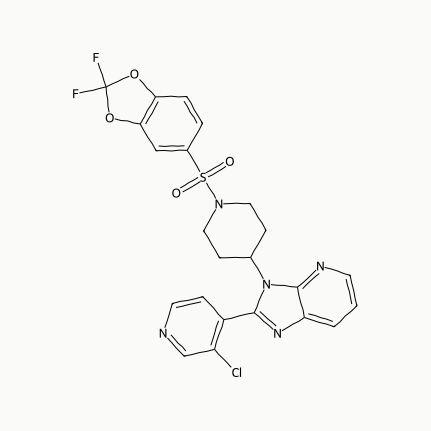 O=S(=O)(c1ccc2c(c1)OC(F)(F)O2)N1CCC(n2c(-c3ccncc3Cl)nc3cccnc32)CC1